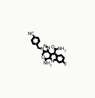 Cc1c(-c2c(C(N)=O)nc3cc(F)ccc3c2C(N)=O)nnn1Cc1ccc(C#N)cc1